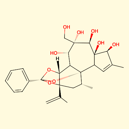 C=C(C)[C@]12C[C@@H](C)[C@@]34O[C@](c5ccccc5)(O[C@@H]1C3[C@H](O)[C@@](O)(CO)[C@@H](O)[C@@]1(O)C4C=C(C)[C@@H]1O)O2